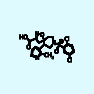 Cc1ncccc1C1CN(S(=O)(=O)c2cc(Cl)ccc2Cl)CCC12CC(C(=O)O)=NO2